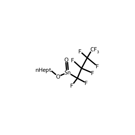 CCCCCCC[O][Sn](=[O])[C](F)(F)C(F)(F)C(F)(F)C(F)(F)F